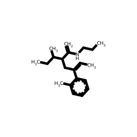 C=C(NCCC)C(C/C(=C/C)c1ccccc1C)C(C)CC